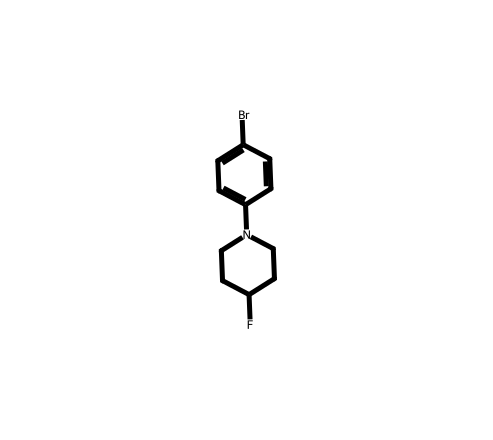 FC1CCN(c2ccc(Br)cc2)CC1